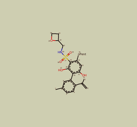 C=C(C)c1ccc(C)cc1-c1c(O)cc(CCCCC)c(S(=O)(=O)NCC2CCO2)c1O